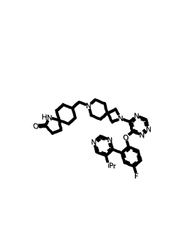 CC(C)c1cncnc1-c1cc(F)ccc1Oc1nncnc1N1CC2(CCN(CC3CCC4(CCC(=O)N4)CC3)CC2)C1